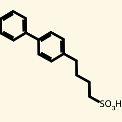 O=S(=O)(O)CCCCc1ccc(-c2ccccc2)cc1